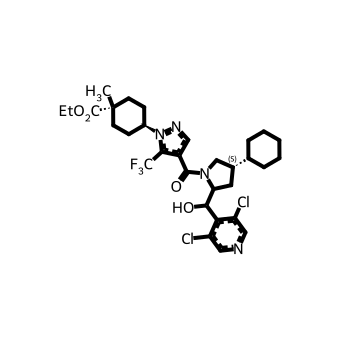 CCOC(=O)[C@]1(C)CC[C@@H](n2ncc(C(=O)N3C[C@H](C4CCCCC4)CC3C(O)c3c(Cl)cncc3Cl)c2C(F)(F)F)CC1